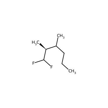 CCCC(C)[C@H](C)C(F)F